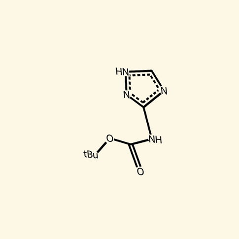 CC(C)(C)OC(=O)Nc1nc[nH]n1